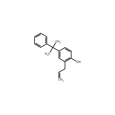 C=CCc1cc(C(C)(C)c2ccccc2)ccc1O